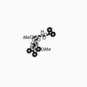 COC(=O)CN(CCNC(=O)OCC1c2ccccc2-c2ccccc21)C(=O)Cn1cnc2c(N(c3ccc(OC)cc3)C(c3ccccc3)c3ccccc3)ncnc21